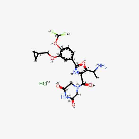 CC(N)c1oc(-c2ccc(OC(F)F)c(OCC3CC3)c2)nc1C(=O)N1CC(=O)NC(=O)C1.Cl